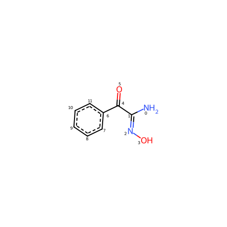 NC(=NO)C(=O)c1ccccc1